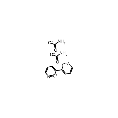 NC(=O)[O-].NC(=O)[O-].[C+]1=NC=CC=C1C1=CC=CN=[C+]1